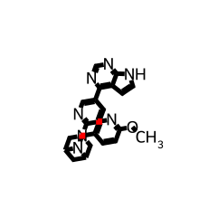 COc1ccc(CN2C3CC2CN(c2ccc(-c4ncnc5[nH]ccc45)cn2)C3)cn1